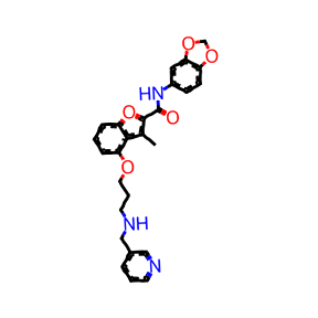 Cc1c(C(=O)Nc2ccc3c(c2)OCO3)oc2cccc(OCCCNCc3cccnc3)c12